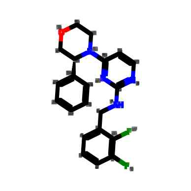 Fc1cccc(CNc2nccc(N3CCOC[C@H]3c3ccccc3)n2)c1F